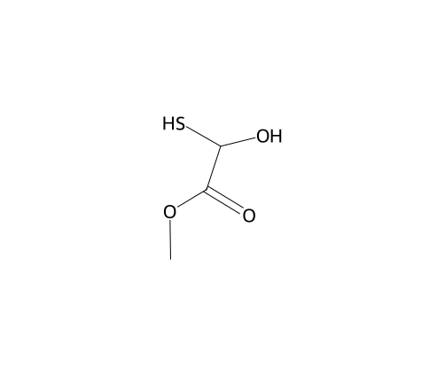 COC(=O)C(O)S